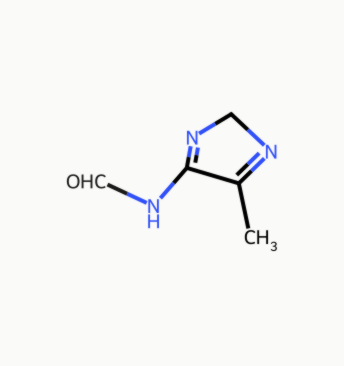 CC1=NCN=C1NC=O